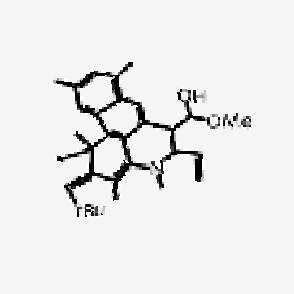 C=CC1C(C(O)OC)c2cc3c(C)cc(C)cc3c3c2C(=C(C)/C(=C\C(C)(C)C)C3(C)C)N1C